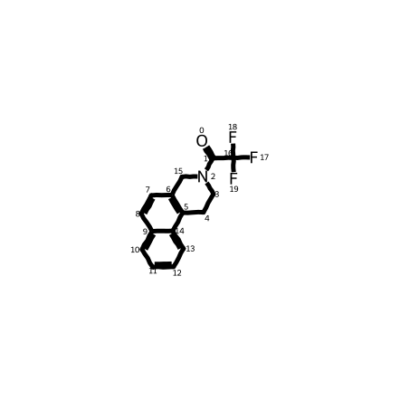 O=C(N1CCc2c(ccc3ccccc23)C1)C(F)(F)F